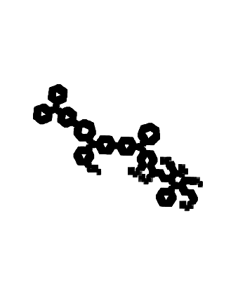 C#CC(C)/C(=C\C=C(/C)C/C=C\C(=C/C=C)N(C1=CC=CCC=C1)c1ccc(-c2ccc(N(C3=CC=C(c4ccc(N(c5ccccc5)c5ccccc5)cc4)C=CC3)c3cccc(C)c3)cc2)cc1)N(/C(C=C)=C/C=C\C)c1ccccc1